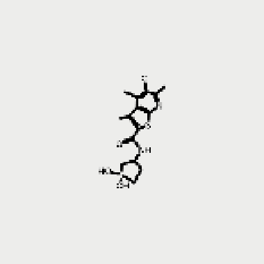 Cc1nc2sc(C(=O)NC3CCS(O)(O)C3)c(C)c2c(C)c1Cl